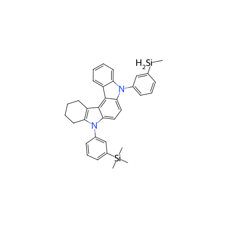 C[SiH2]c1cccc(-n2c3ccccc3c3c4c5c(n(-c6cccc([Si](C)(C)C)c6)c4ccc32)CCCC5)c1